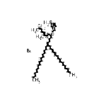 CCCCCCCCCCCCCCCCCCC(CCCCCCCCCCCCCCCCCC)CCCCC(CCC(C)CCCC(C)C)OCCn1cc[n+](C)c1.[Br-]